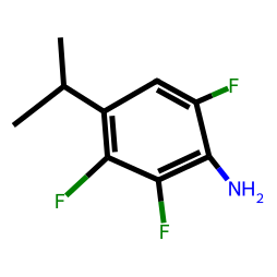 CC(C)c1cc(F)c(N)c(F)c1F